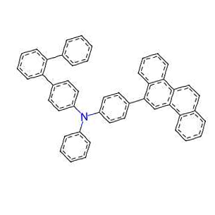 c1ccc(-c2ccccc2-c2ccc(N(c3ccccc3)c3ccc(-c4cc5c6ccccc6ccc5c5ccccc45)cc3)cc2)cc1